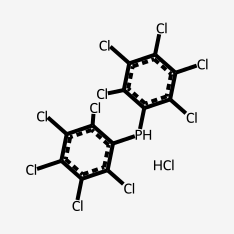 Cl.Clc1c(Cl)c(Cl)c(Pc2c(Cl)c(Cl)c(Cl)c(Cl)c2Cl)c(Cl)c1Cl